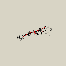 CCCCCCCCCOC(=O)OCCCCCCN(CCCCO)CCCCCCCC(=O)OC(CCCCCCCC)CCCCCCCC